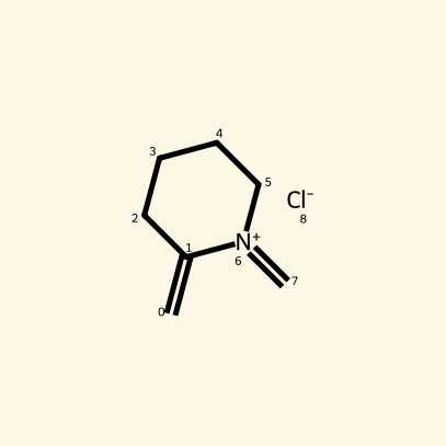 C=C1CCCC[N+]1=C.[Cl-]